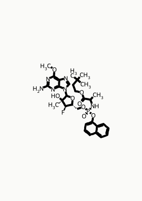 COc1nc(N)nc2c1ncn2C1O[C@H](COP(=O)(NC(C)C(=O)OCCC(C)(C)C)Oc2cccc3ccccc23)[C@@H](F)[C@@]1(C)O